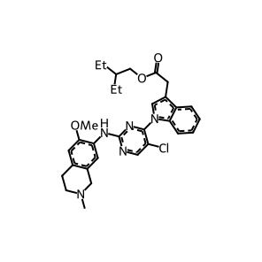 CCC(CC)COC(=O)Cc1cn(-c2nc(Nc3cc4c(cc3OC)CCN(C)C4)ncc2Cl)c2ccccc12